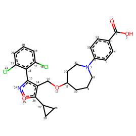 O=C(O)c1ccc(N2CCCC(OCc3c(-c4c(Cl)cccc4Cl)noc3C3CC3)CC2)cc1